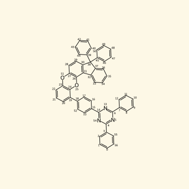 c1ccc(-c2nc(-c3ccccc3)nc(-c3ccc(-c4cccc5c4Oc4c(ccc6c4-c4ccccc4C6(c4ccccc4)c4ccccc4)O5)cc3)n2)cc1